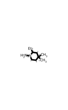 CCC1CC(C)(C)CCN1N